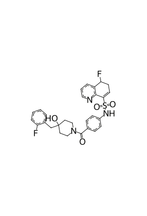 O=C(c1ccc(NS(=O)(=O)C2=CCC(F)c3cccnc32)cc1)N1CCC(O)(Cc2ccccc2F)CC1